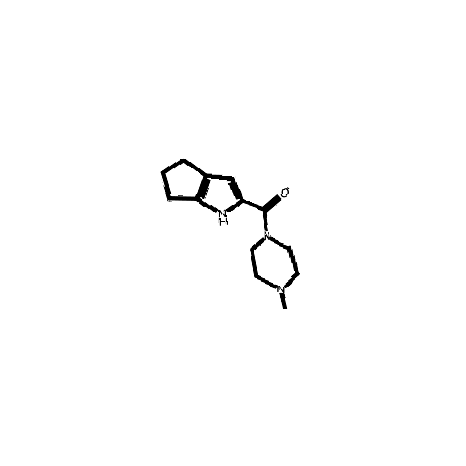 CN1CCN(C(=O)c2cc3c([nH]2)CCC3)CC1